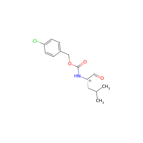 CC(C)C[C@@H]([C]=O)NC(=O)OCc1ccc(Cl)cc1